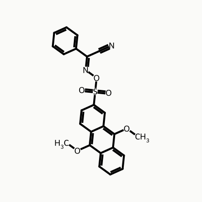 COc1c2ccccc2c(OC)c2cc(S(=O)(=O)ON=C(C#N)c3ccccc3)ccc12